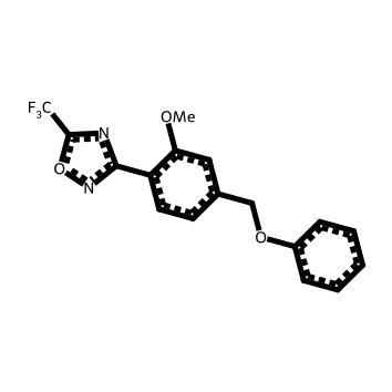 COc1cc(COc2ccccc2)ccc1-c1noc(C(F)(F)F)n1